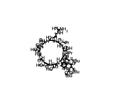 CCC(C)[C@@H]1NC(=O)[C@@H](CCCNC(=N)N)NC(=O)[C@H](CC(C)C)NC(=O)[C@H]([C@H](O)C(C)C)NC(=O)[C@@H](NC(=O)[C@H](CC(C)(C)C)NC(=O)[C@@H](CC(C)(C)C)NC(=O)OC(C)(C)C)[C@@H](c2ccccc2)NC(=O)C(CO)NC(=O)[C@H](CO)NC(=O)CNC(=O)[C@H]([C@H](C)O)NC1=O